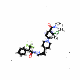 C=C(/C=C\C(C(=O)N(C)C)=C(/C)Cl)N1CCC(C2CC2CNC(=O)C(c2ccccc2)C(F)(F)F)CC1